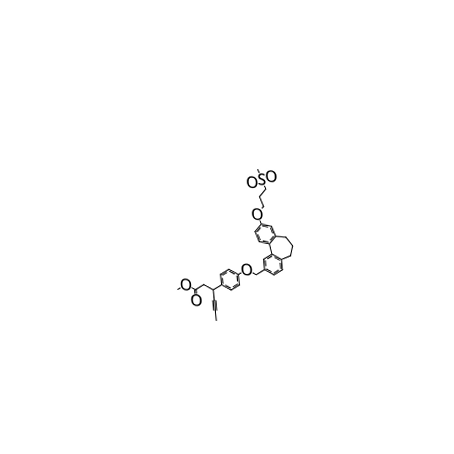 CC#CC(CC(=O)OC)c1ccc(OCc2ccc3c(c2)-c2ccc(OCCCS(C)(=O)=O)cc2CCC3)cc1